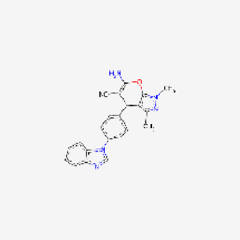 Cc1nn(C)c2c1C(c1ccc(-n3cnc4ccccc43)cc1)C(C#N)=C(N)O2